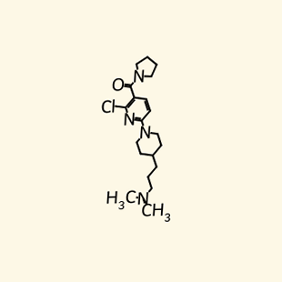 CN(C)CCCC1CCN(c2ccc(C(=O)N3CCCC3)c(Cl)n2)CC1